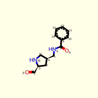 O=C[C@@H]1C[C@H](CNC(=O)c2ccccc2)CN1